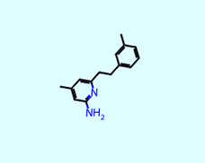 Cc1cccc(CCc2cc(C)cc(N)n2)c1